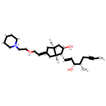 CC#CC[C@H](C)[C@H](O)/C=C/[C@@H]1[C@H]2C/C(=C/COCCN3CCCCC3)C[C@H]2C[C@H]1O